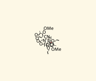 C=CCOC(=O)N1[C@@H]2c3c(cc(C)c(OC)c3OCC=C)C[C@H]1[C@@H](C#N)N1[C@@H](c3cc(OCOC)c(C)c4c3OCO4)C(=O)OC[C@@H]21